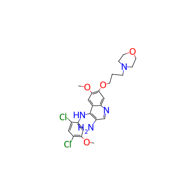 COc1cc(Nc2c(N)cnc3cc(OCCCN4CCOCC4)c(OC)cc23)c(Cl)cc1Cl